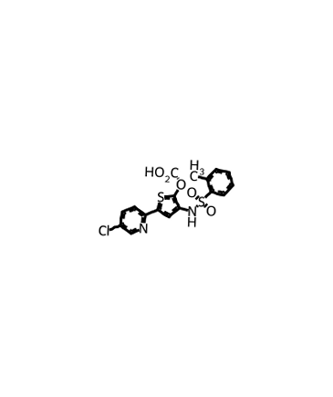 Cc1ccccc1S(=O)(=O)Nc1cc(-c2ccc(Cl)cn2)sc1OC(=O)O